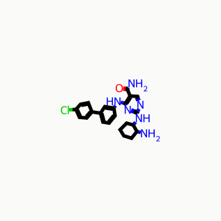 NC(=O)c1cnc(NC2CCCCC2N)nc1Nc1cccc(-c2ccc(Cl)cc2)c1